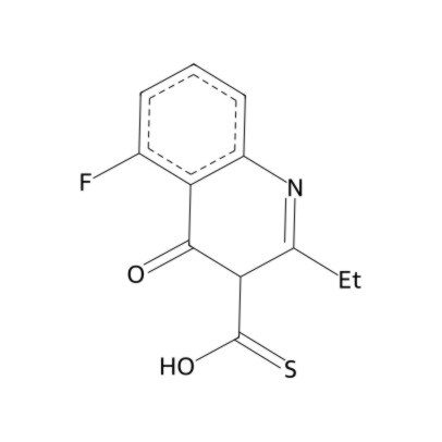 CCC1=Nc2cccc(F)c2C(=O)C1C(O)=S